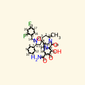 C[C@H]1CC[C@]2(CC(c3ccccc3)N(Cc3ccc(F)cc3F)O2)[C@H]2CN1C(=O)c1c(O)c(=O)c(C(N)=O)cn12